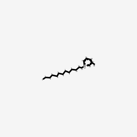 CCCCCCCCCCCCC[n+]1cccc(C)c1